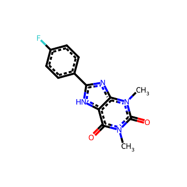 Cn1c(=O)c2[nH]c(-c3ccc(F)cc3)nc2n(C)c1=O